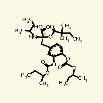 CCC(C)N[C@@](Cc1ccc(OC(=O)OC(C)CC)c(OC(=O)OC(C)CC)c1)(OC(=O)C(C)(C)CC)C(=O)O